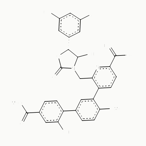 C=C(C)c1ccc(-c2cc(-c3ccc(C(=O)OC)cc3C)ccc2OC)c(CN2C(=O)O[C@H](c3cc(C(F)(F)F)cc(C(F)(F)F)c3)C2C)n1